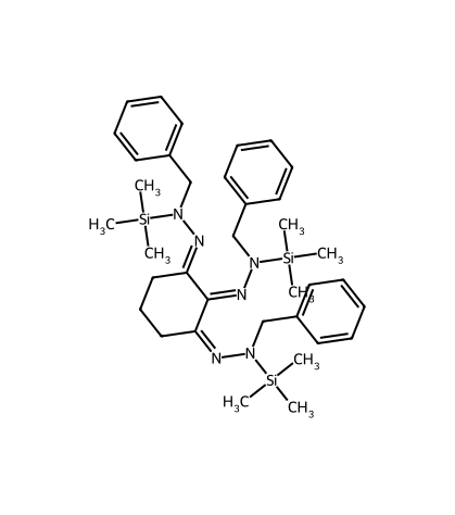 C[Si](C)(C)N(Cc1ccccc1)/N=C1/CCCC(=N\N(Cc2ccccc2)[Si](C)(C)C)/C1=N\N(Cc1ccccc1)[Si](C)(C)C